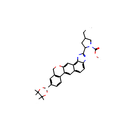 CCCCOC(=O)N1CC(COC)CC1c1nc2ccc3cc4c(cc3c2[nH]1)OCc1cc(B2OC(C)(C)C(C)(C)O2)ccc1-4